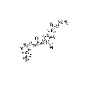 CCOC(=O)N1CCc2c(sc(NC(=O)/C=C/c3cccc(C(F)(F)F)c3)c2C#N)C1